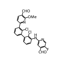 COc1nc(-c2cccc(-c3cccc(Nc4cc(C=O)c(F)cn4)c3Cl)c2Cl)ccc1C=O